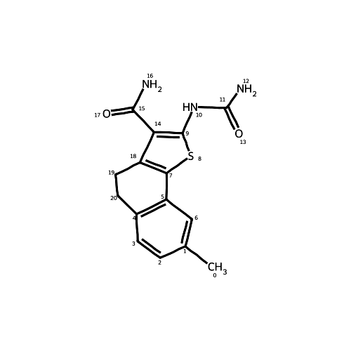 Cc1ccc2c(c1)-c1sc(NC(N)=O)c(C(N)=O)c1CC2